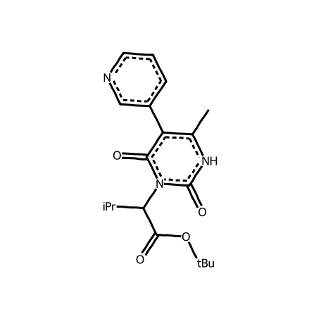 Cc1[nH]c(=O)n(C(C(=O)OC(C)(C)C)C(C)C)c(=O)c1-c1cccnc1